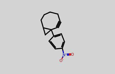 O=[N+]([O-])c1ccc(C23C#CCCCCC2C3)cc1